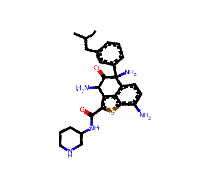 CC(C)Cc1cccc(C2(N)C(=O)C(N)c3c(C(=O)NC4CCCNC4)sc4c(N)ccc2c34)c1